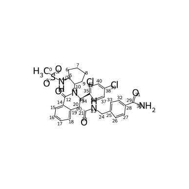 CS(=O)(=O)N[C@H]1CCCCC1N1C(=O)c2ccccc2[C@@H](C(=O)NCc2ccc(C(N)=O)cc2)[C@@H]1c1ccc(Cl)cc1Cl